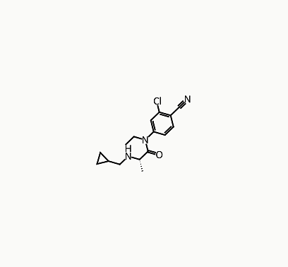 CCN(C(=O)[C@H](C)NCC1CC1)c1ccc(C#N)c(Cl)c1